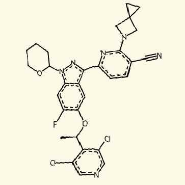 C[C@@H](Oc1cc2c(-c3ccc(C#N)c(N4CC5(CC5)C4)n3)nn(C3CCCCO3)c2cc1F)c1c(Cl)cncc1Cl